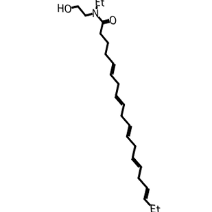 CCC=CCC=CCC=CCC=CCC=CCCCC(=O)N(CC)CCO